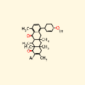 CCOC1C=CC(c2ccc(C)c3c2CC2(C)CC4(C)CC(C)=C(C(C)=O)C(=O)C4(C)C(C)C2C3=O)CC1